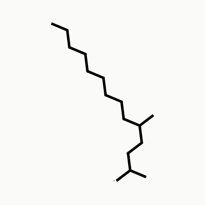 [CH2]C(C)CCC(C)CCCCCCCCC